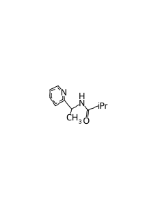 CC(C)C(=O)NC(C)c1ccccn1